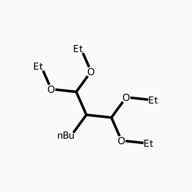 CCCCC(C(OCC)OCC)C(OCC)OCC